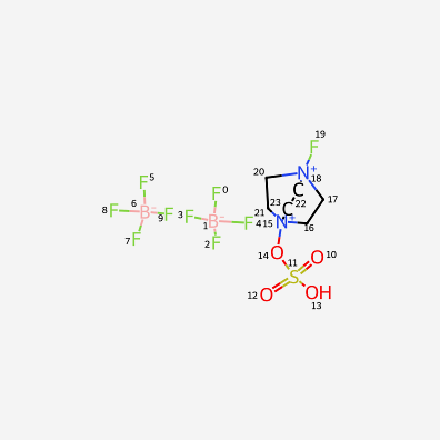 F[B-](F)(F)F.F[B-](F)(F)F.O=S(=O)(O)O[N+]12CC[N+](F)(CC1)CC2